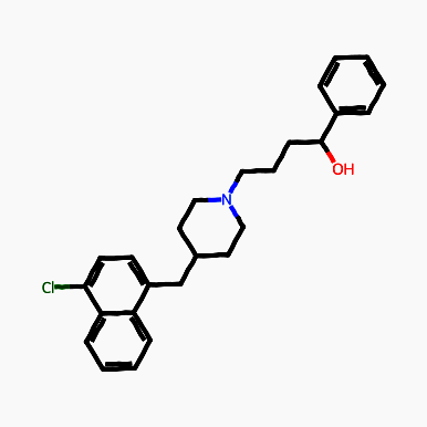 OC(CCCN1CCC(Cc2ccc(Cl)c3ccccc23)CC1)c1ccccc1